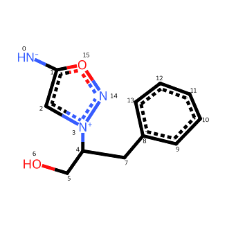 [NH-]c1c[n+](C(CO)Cc2ccccc2)no1